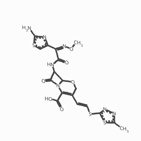 CO/N=C(\C(=O)NC1C(=O)N2C(C(=O)O)=C(/C=C/Sc3nnc(C)s3)COC12)c1csc(N)n1